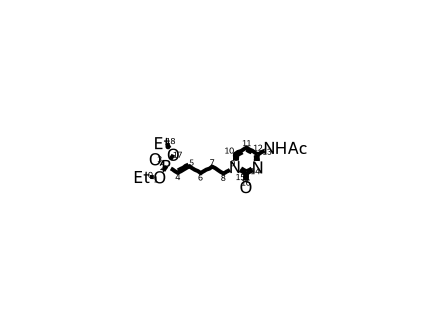 CCOP(=O)(/C=C/CCCn1ccc(NC(C)=O)nc1=O)OCC